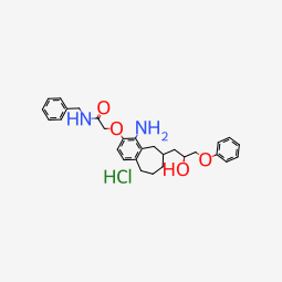 Cl.Nc1c(OCC(=O)NCc2ccccc2)ccc2c1CC(C[C@H](O)COc1ccccc1)CCC2